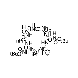 CCC[C@@H]1NC(=O)[C@H](CCNC(=O)OC(C)(C)C)NC(=O)[C@H](CC(C)C)NC(=O)[C@@H](Cc2ccccc2)NC(=O)[C@H](CCNC(=O)OC(C)(C)C)NC(=O)[C@@H](N)CCNC(=O)[C@H]([C@@H](C)O)NC1=O